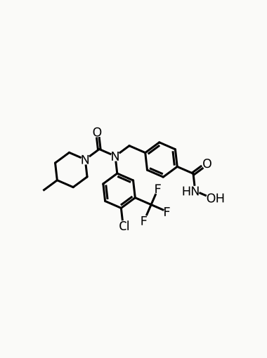 CC1CCN(C(=O)N(Cc2ccc(C(=O)NO)cc2)c2ccc(Cl)c(C(F)(F)F)c2)CC1